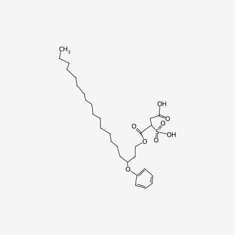 CCCCCCCCCCCCCCCCC(CCOC(=O)C(CC(=O)O)S(=O)(=O)O)Oc1ccccc1